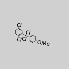 COc1ccc(C(Cl)(Cl)c2cc(Cl)ccc2Cl)cc1